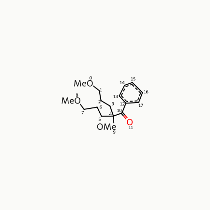 COCCCC(CCCOC)(OC)C(=O)c1ccccc1